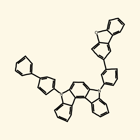 c1ccc(-c2ccc(-n3c4ccccc4c4c5c6ccccc6n(-c6cccc(-c7ccc8oc9ccccc9c8c7)c6)c5ccc43)cc2)cc1